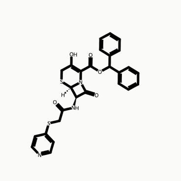 O=C(CSc1ccncc1)N[C@@H]1C(=O)N2C(C(=O)OC(c3ccccc3)c3ccccc3)=C(O)CS[C@H]12